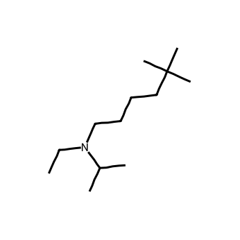 CCN(CCCCC(C)(C)C)C(C)C